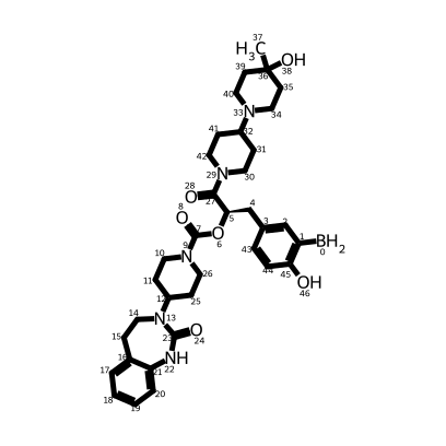 Bc1cc(C[C@@H](OC(=O)N2CCC(N3CCc4ccccc4NC3=O)CC2)C(=O)N2CCC(N3CCC(C)(O)CC3)CC2)ccc1O